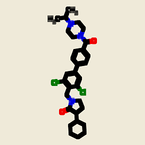 CC(C)N1CCN(C(=O)c2ccc(-c3cc(Cl)c(CN4CCC(C5CCCCC5)C4=O)c(Cl)c3)cc2)CC1